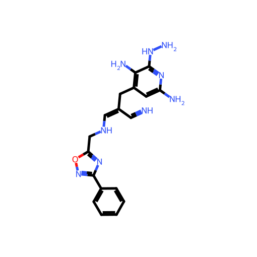 N=C/C(=C\NCc1nc(-c2ccccc2)no1)Cc1cc(N)nc(NN)c1N